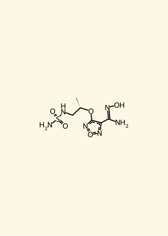 C[C@@H](CNS(N)(=O)=O)Oc1nonc1/C(N)=N/O